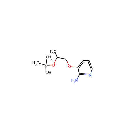 CC(C)(C)[Si](C)(C)OC(COc1cccnc1N)C(F)(F)F